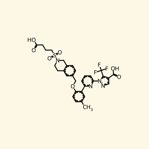 Cc1ccc(OCc2ccc3c(c2)CCN(S(=O)(=O)CCCC(=O)O)C3)c(-c2cccc(-n3ncc(C(=O)O)c3C(F)(F)F)n2)c1